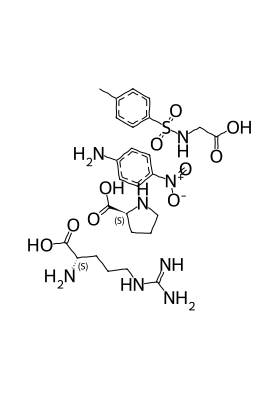 Cc1ccc(S(=O)(=O)NCC(=O)O)cc1.N=C(N)NCCC[C@H](N)C(=O)O.Nc1ccc([N+](=O)[O-])cc1.O=C(O)[C@@H]1CCCN1